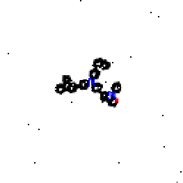 c1ccc(-n2c3ccccc3c3ccc(-c4ccc(N(c5ccc(-c6ccc7c(c6)C6(CCCC6)c6ccccc6-7)cc5)c5ccc(-c6cccc7ccccc67)cc5)cc4)cc32)cc1